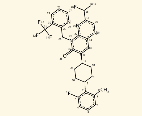 Cc1cccc(F)c1[C@H]1CC[C@H](c2cc3ncc(C(F)F)nc3n(Cc3ncccc3C(F)(F)F)c2=O)CC1